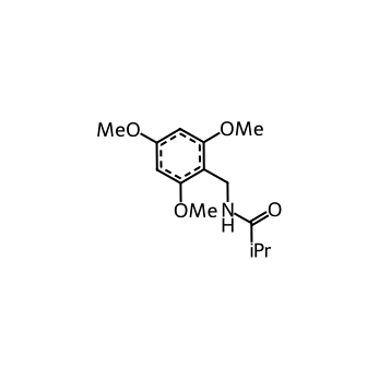 COc1cc(OC)c(CNC(=O)C(C)C)c(OC)c1